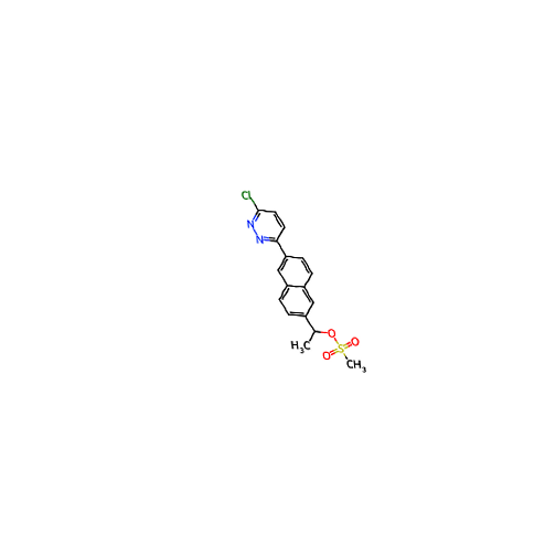 CC(OS(C)(=O)=O)c1ccc2cc(-c3ccc(Cl)nn3)ccc2c1